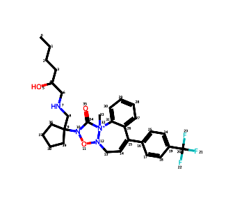 CCCCC(O)CNCC1(N2ON3CC=C(c4ccc(C(F)(F)F)cc4)c4ccccc4[N+]3(C)C2=O)CCCC1